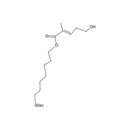 CCCCCCCCCCCCCCCCCOC(=O)C(C)=CCCO